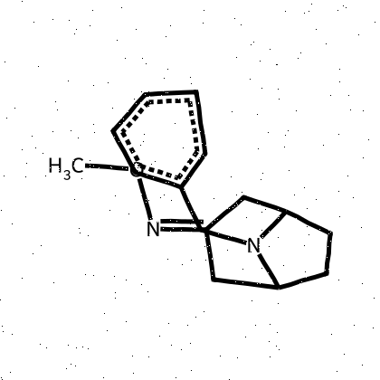 CON=C1CC2CCC(C1)N2Cc1ccccc1